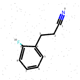 N#CCCc1cc[c]cc1F